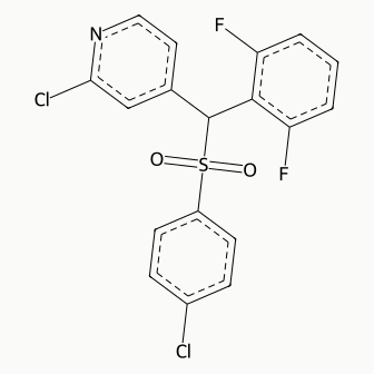 O=S(=O)(c1ccc(Cl)cc1)C(c1ccnc(Cl)c1)c1c(F)cccc1F